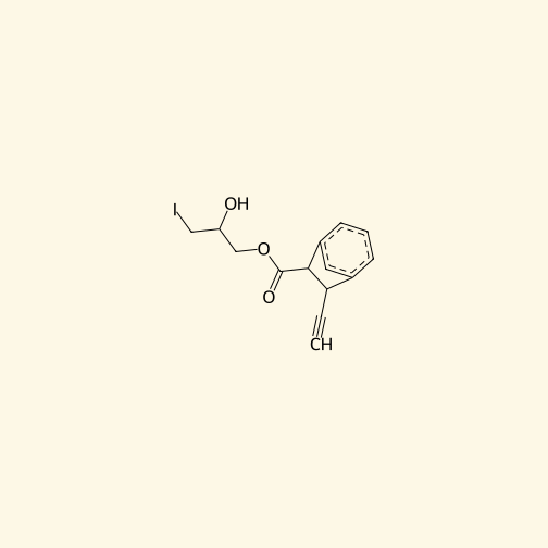 C#CC1c2cccc(c2)C1C(=O)OCC(O)CI